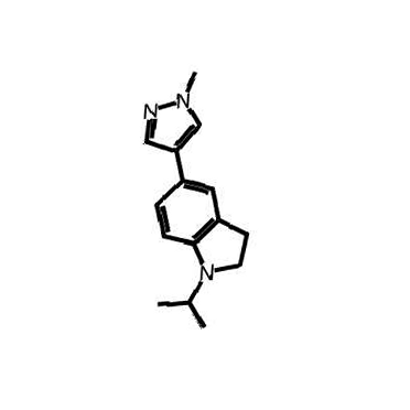 CC(C)N1CCc2cc(-c3cnn(C)c3)ccc21